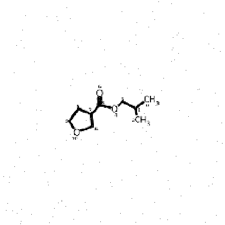 CC(C)COC(=O)C1CCOC1